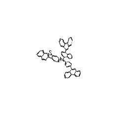 c1ccc2c(c1)cc(-c1ccc(N(c3ccc4c(c3)sc3c5ccccc5ccc43)c3ccc(-c4cc5ccccc5c5ccccc45)c4ccccc34)cc1)c1ccccc12